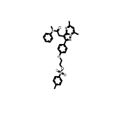 Cc1ccc(S(=O)(=O)OCCOc2ccc(-c3nn4c(C)cc(C)nc4c3CC(=O)N(C)c3ccccc3)cc2)cc1